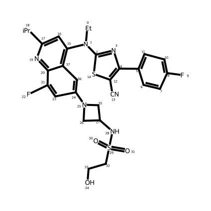 CCN(c1nc(-c2ccc(F)cc2)c(C#N)s1)c1cc(C(C)C)nc2c(F)cc(N3CC(NS(=O)(=O)CCO)C3)cc12